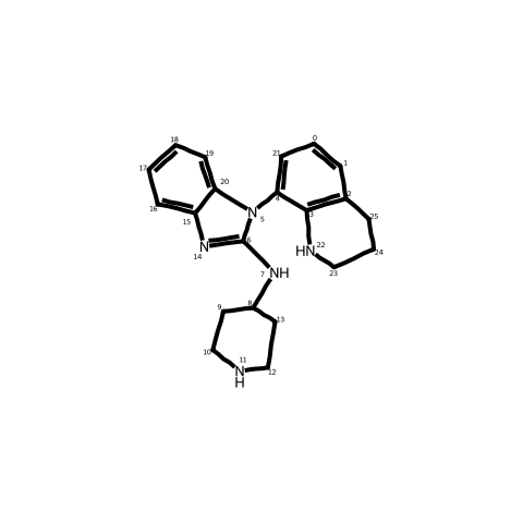 c1cc2c(c(-n3c(NC4CCNCC4)nc4ccccc43)c1)NCCC2